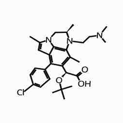 Cc1c([C@H](OC(C)(C)C)C(=O)O)c(-c2ccc(Cl)cc2)c2cc(C)n3c2c1N(CCN(C)C)[C@H](C)C3